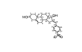 CC12CCC(O)CC1=CCC1C2CCC2(C)C(O)/C(=C/c3ccc([N+](=O)[O-])cc3)CC12